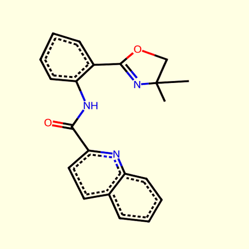 CC1(C)COC(c2ccccc2NC(=O)c2ccc3ccccc3n2)=N1